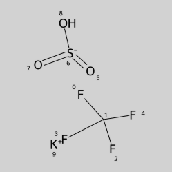 FC(F)(F)F.O=[S-](=O)O.[K+]